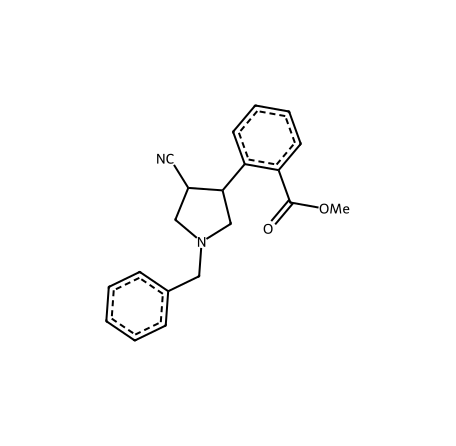 COC(=O)c1ccccc1C1CN(Cc2ccccc2)CC1C#N